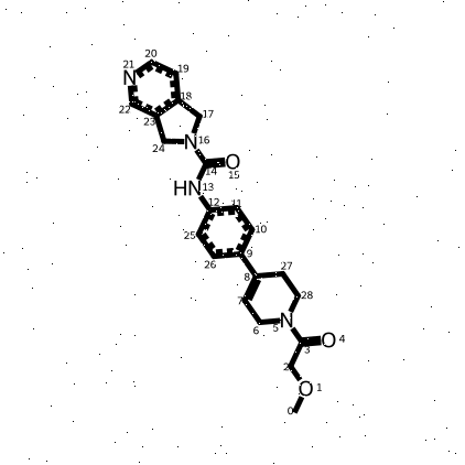 COCC(=O)N1CC=C(c2ccc(NC(=O)N3Cc4ccncc4C3)cc2)CC1